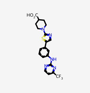 O=C(O)C1CCN(c2ncc(-c3cccc(Nc4nccc(C(F)(F)F)n4)c3)s2)CC1